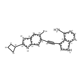 Nc1ncnc2[nH]cc(C#Cc3cc4nc(C5CCC5)sc4cc3F)c12